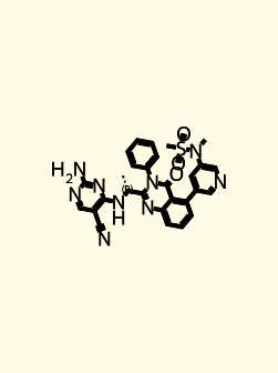 C[C@@H](Nc1nc(N)ncc1C#N)c1nc2cccc(-c3cncc(N(C)S(C)(=O)=O)c3)c2c(=O)n1-c1ccccc1